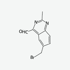 Cc1nc(C=O)c2cc(CBr)ccc2n1